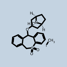 CI.CN1[C@@H]2CC[C@H]1CC(OC1c3ccccc3CS(=O)(=O)c3ccccc31)C2